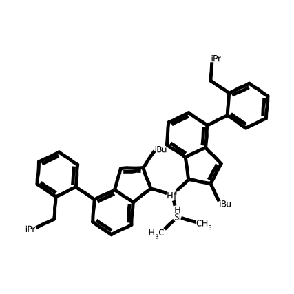 CCC(C)C1=Cc2c(-c3ccccc3CC(C)C)cccc2[CH]1[Hf]([CH]1C(C(C)CC)=Cc2c(-c3ccccc3CC(C)C)cccc21)[SiH](C)C